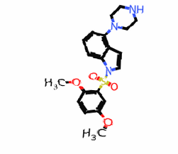 COc1ccc(OC)c(S(=O)(=O)n2ccc3c(N4CCNCC4)cccc32)c1